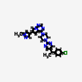 C[C@H](c1ccc(Cl)cc1)c1cnc(N2CCN(c3ncnn4cc(-c5cnn(C)c5)cc34)CC2)nc1